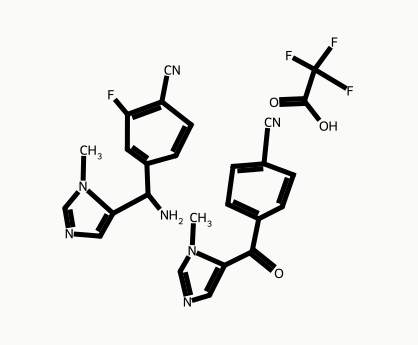 Cn1cncc1C(=O)c1ccc(C#N)cc1.Cn1cncc1C(N)c1ccc(C#N)c(F)c1.O=C(O)C(F)(F)F